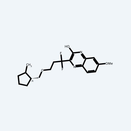 COc1ccc2nc(C(F)(F)CCOC[C@@H]3CCCC3C)c(O)nc2c1